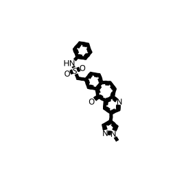 Cn1cc(-c2cnc3ccc4ccc(CS(=O)(=O)Nc5ccccc5)cc4c(=O)c3c2)cn1